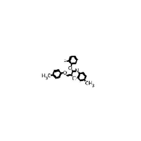 CC(=COc1ccc(C)cc1)C(=Nc1ccc(C)cc1)Oc1ccccc1F